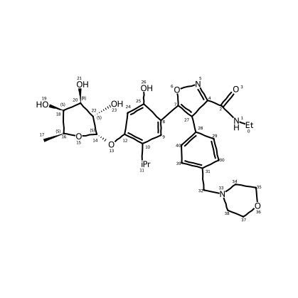 CCNC(=O)c1noc(-c2cc(C(C)C)c(O[C@@H]3O[C@@H](C)[C@@H](O)[C@@H](O)[C@@H]3O)cc2O)c1-c1ccc(CN2CCOCC2)cc1